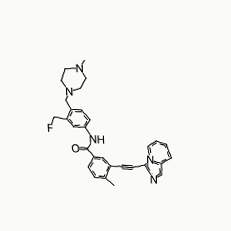 Cc1ccc(C(=O)Nc2ccc(CN3CCN(C)CC3)c(CF)c2)cc1C#Cc1ncc2ccccn12